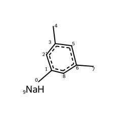 Cc1[c]c(C)cc(C)c1.[NaH]